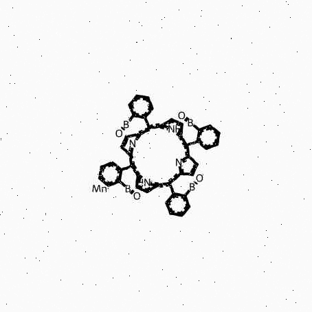 O=Bc1ccccc1-c1c2nc(c(-c3ccccc3B=O)c3ccc([nH]3)c(-c3ccccc3B=O)c3nc(c(-c4ccccc4B=O)c4ccc1[nH]4)C=C3)C=C2.[Mn]